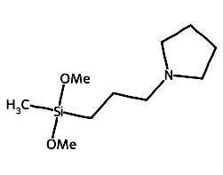 CO[Si](C)(CCCN1CCCC1)OC